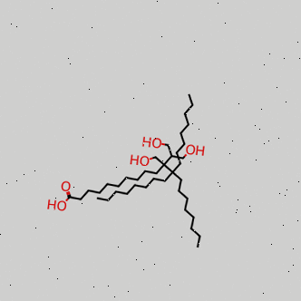 CCCCCCCCC(CCCCCCCC)(CCCCCCCC)C(CO)(CCCCCCCCCC(=O)O)C(CO)CO